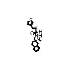 C[C@@H](Cc1ccsc1)NC(=O)NCC1(N(C)C)CCc2ccccc2C1